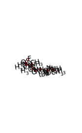 Cc1[nH]nc(Nc2ncnc3cc(OCCCN4CCN(c5cnc(C(=O)N6CCN(C[C@H]7CN[C@H](C)CN7CC(=O)N7CC(C)(C)c8[nH]c(=O)c(Cc9ccc(F)cc9)cc87)[C@H](C)C6)cn5)CC4)c(S(=O)(=O)C(C)(C)C)cc23)c1C